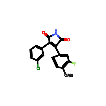 COc1ccc(C2=C(c3cccc(Cl)c3)C(=O)NC2=O)cc1F